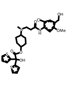 COc1cc(NC(=O)CCN(C)C2CCC(OC(=O)C(O)(c3cccs3)c3cccs3)CC2)c(Cl)cc1CO